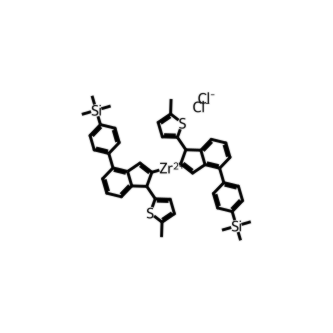 Cc1ccc(C2[C]([Zr+2][C]3=Cc4c(-c5ccc([Si](C)(C)C)cc5)cccc4C3c3ccc(C)s3)=Cc3c(-c4ccc([Si](C)(C)C)cc4)cccc32)s1.[Cl-].[Cl-]